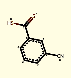 N#Cc1cccc(C(=S)S)c1